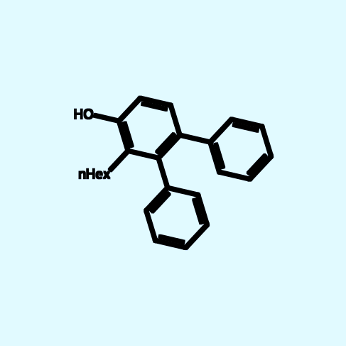 CCCCCCc1c(O)ccc(-c2ccccc2)c1-c1ccccc1